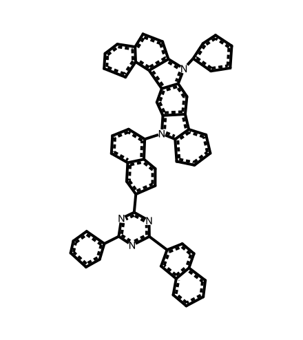 c1ccc(-c2nc(-c3ccc4ccccc4c3)nc(-c3ccc4c(-n5c6ccccc6c6cc7c(cc65)c5c6ccccc6ccc5n7-c5ccccc5)cccc4c3)n2)cc1